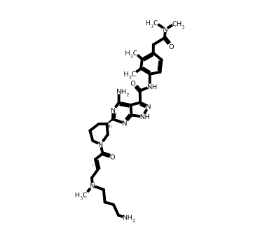 Cc1c(CC(=O)N(C)C)ccc(NC(=O)c2n[nH]c3nc([C@@H]4CCCN(C(=O)/C=C/CN(C)CCCCN)C4)nc(N)c23)c1C